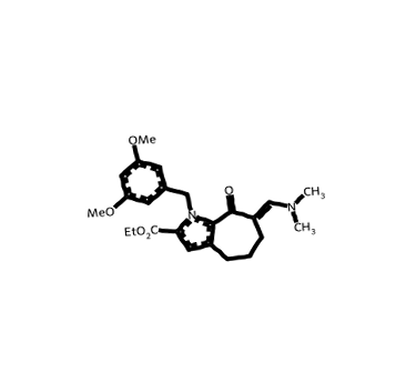 CCOC(=O)c1cc2c(n1Cc1cc(OC)cc(OC)c1)C(=O)C(=CN(C)C)CCC2